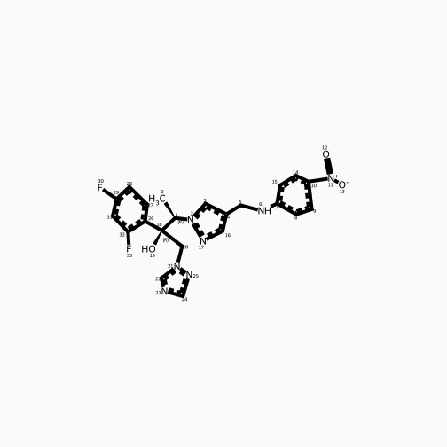 C[C@@H](n1cc(CNc2ccc([N+](=O)[O-])cc2)cn1)[C@](O)(Cn1cncn1)c1ccc(F)cc1F